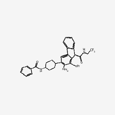 CCCc1c(N)c(C2CCC(NC(=O)c3ccccc3)CC2)cc2c1C(C(=O)NCC(F)(F)F)c1ccccc1-2